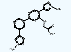 COC(=O)CNc1nc(-c2cccc(-c3cnn(C)c3)c2)ncc1-c1cnn(C)c1